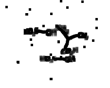 CC(N)C(=O)O.O=S(=O)(O)O.O=S(=O)(O)O